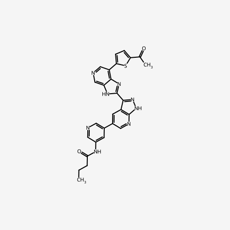 CCCC(=O)Nc1cncc(-c2cnc3[nH]nc(-c4nc5c(-c6ccc(C(C)=O)s6)cncc5[nH]4)c3c2)c1